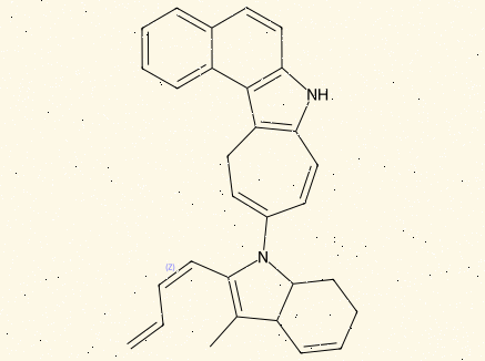 C=C/C=C\C1=C(C)C2C=CCCC2N1C1=CCc2c([nH]c3ccc4ccccc4c23)C=C1